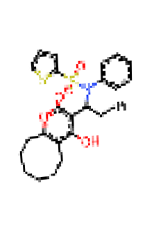 CC(C)CC(c1c(O)c2c(oc1=O)CCCCCC2)N(c1ccccc1)S(=O)(=O)c1cccs1